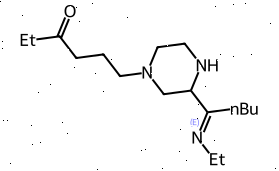 CCCC/C(=N\CC)C1CN(CCCC(=O)CC)CCN1